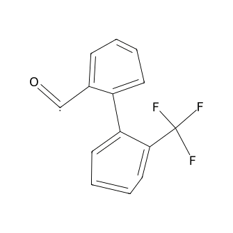 O=[C]c1ccccc1-c1ccccc1C(F)(F)F